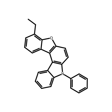 CCc1cccc2c1oc1ccc3c(c4ccccc4n3-c3ccccc3)c12